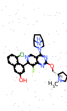 CN1CCC[C@H]1COc1nc(N2CC3CCC(C2)N3)c2cnc(-c3cc(O)cc4cccc(Cl)c34)c(F)c2n1